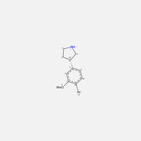 COc1cc([C@@H]2CCNC2)ccc1C(C)=O